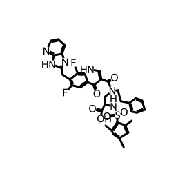 Cc1cc(C)c(S(=O)(=O)NC(CN(CCc2ccccc2)C(=O)c2c[nH]c3c(F)c(Cc4nc5cccnc5[nH]4)c(F)cc3c2=O)C(=O)O)c(C)c1